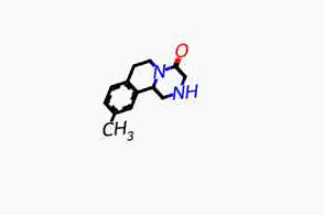 Cc1ccc2c(c1)C1CNCC(=O)N1CC2